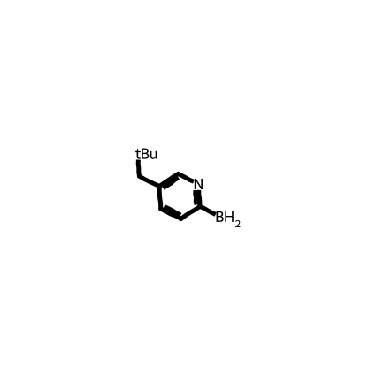 Bc1ccc(CC(C)(C)C)cn1